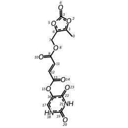 Cc1oc(=O)oc1COC(=O)/C=C/C(=O)Oc1c[nH]c(=O)[nH]c1=O